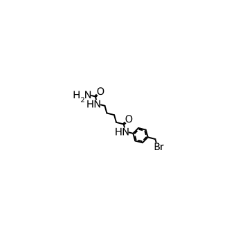 NC(=O)NCCCCC(=O)Nc1ccc(CBr)cc1